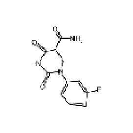 NC(=O)C1CN(c2cccc(F)c2)C(=O)[N]C1=O